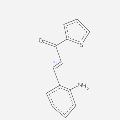 Nc1ccccc1/C=C/C(=O)c1cccs1